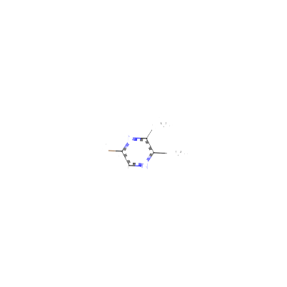 COc1ncc(Br)nc1OC